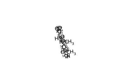 Cc1ncccc1C(=O)N1CCc2cc(-c3nc(NC(=O)Cc4ccc5c(c4)OCO5)sc3C)ccc21